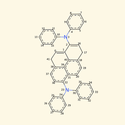 C1=C2C(N(c3ccccc3)c3ccccc3)=CCc3ccc4c(N(c5ccccc5)c5ccccc5)ccc(c4c32)C1